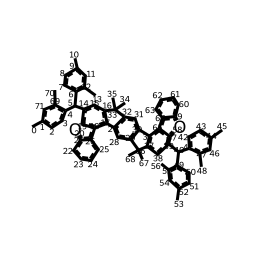 Cc1ccc(C(c2ccc(C)cc2C)c2cc3c(c4c2oc2ccccc24)-c2cc4c(cc2C3(C)C)-c2c(cc(C(c3ccc(C)cc3C)c3ccc(C)cc3C)c3oc5ccccc5c23)C4(C)C)c(C)c1